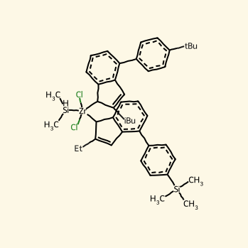 CCC1=Cc2c(-c3ccc([Si](C)(C)C)cc3)cccc2[CH]1[Zr]([Cl])([Cl])([CH]1C(C(C)CC)=Cc2c(-c3ccc(C(C)(C)C)cc3)cccc21)[SiH](C)C